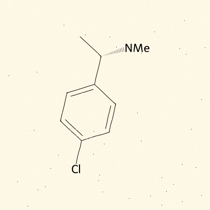 CN[C@@H](C)c1ccc(Cl)cc1